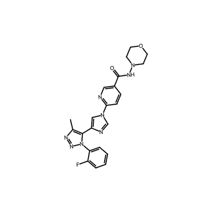 Cc1nnn(-c2ccccc2F)c1-c1cn(-c2ccc(C(=O)NN3CCOCC3)cn2)cn1